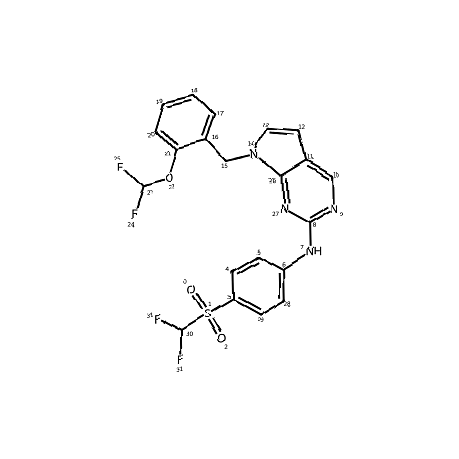 O=S(=O)(c1ccc(Nc2ncc3ccn(Cc4ccccc4OC(F)F)c3n2)cc1)C(F)F